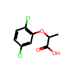 CC(Oc1cc(Cl)ccc1Cl)C(=O)O